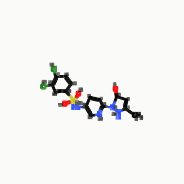 Cc1cc(=O)n(-c2ccc(NS(=O)(=O)c3ccc(Cl)c(Cl)c3)cn2)[nH]1